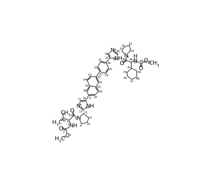 COC(=O)N[C@H](C(=O)N1CCC[C@H]1c1ncc(-c2ccc3cc(-c4ccc(-c5cnc([C@@H]6CCCN6C(=O)[C@@H](NC(=O)OC)C6CCCCC6)[nH]5)cc4)ccc3c2)[nH]1)C(C)C